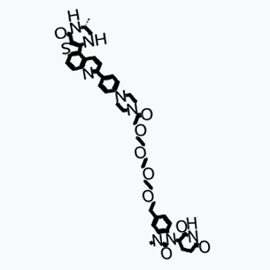 C[C@@H]1CNc2c(sc3ccc4nc(-c5ccc(N6CCN(C(=O)COCCOCCOCCOCCc7ccc8c(c7)n(C)c(=O)n8C7CCC(=O)NC7=O)CC6)cc5)ccc4c23)C(=O)N1